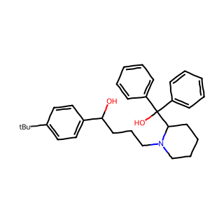 CC(C)(C)c1ccc(C(O)CCCN2CCCCC2C(O)(c2ccccc2)c2ccccc2)cc1